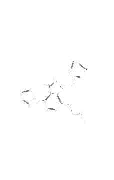 Cc1cccc(Cn2nc(C)c3c(-n4ccnc4)ccc(CCN(C)C)c32)n1